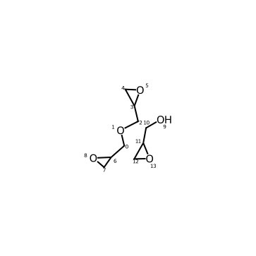 C(OCC1CO1)C1CO1.OCC1CO1